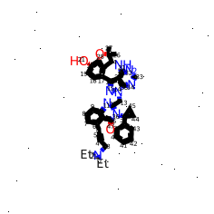 CCN(CC)CC#Cc1cccc2nc(Cn3nc(-c4ccc(O)c5c4CC(C)(C)O5)c4c(N)ncnc43)n(C3(c4ccccc4)CC3)c(=O)c12